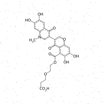 Cn1cc(-c2coc3cc(O)c(O)c(C(=O)OCCOCCC(=O)O)c3c2=O)c(=O)c2cc(O)c(O)cc21